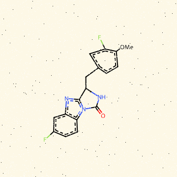 COc1ccc(CC2NC(=O)n3c2nc2cc(F)ccc23)cc1F